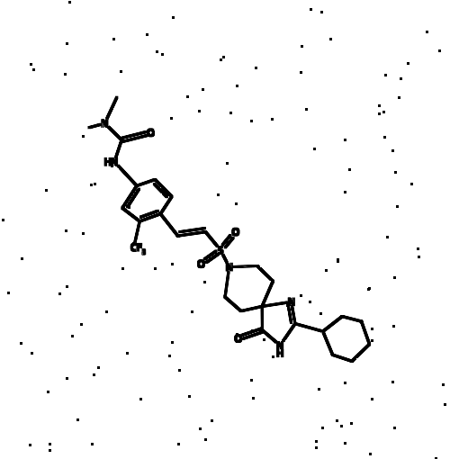 CN(C)C(=O)Nc1ccc(C=CS(=O)(=O)N2CCC3(CC2)N=C(C2CCCCC2)NC3=O)c(C(F)(F)F)c1